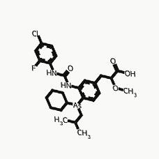 COC(Cc1ccc([As](CC(C)C)C2CCCCC2)c(NC(=O)Nc2ccc(Cl)cc2F)c1)C(=O)O